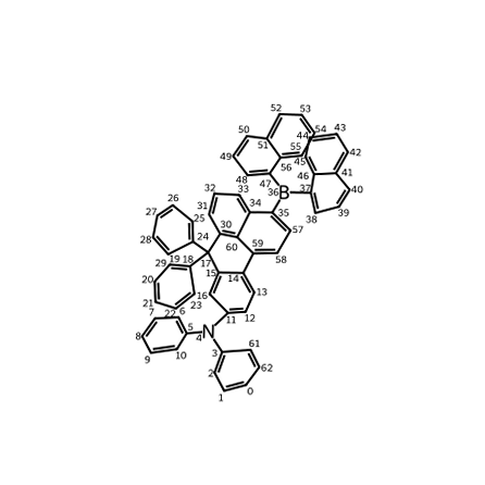 c1ccc(N(c2ccccc2)c2ccc3c(c2)C(c2ccccc2)(c2ccccc2)c2cccc4c(B(c5cccc6ccccc56)c5cccc6ccccc56)ccc-3c24)cc1